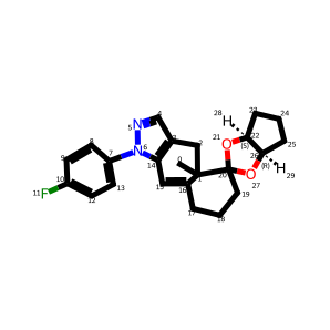 CC12Cc3cnn(-c4ccc(F)cc4)c3C=C1CCCC21O[C@H]2CCC[C@H]2O1